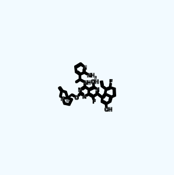 C=Cc1c(F)ccc2cc(O)cc(-c3nc(O)c4c(NC(C)c5cccnc5N)nc(OC[C@@]56CCCN5CC(=C)C6)nc4c3F)c12